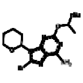 CCCCC(C)Oc1nc(N)c2nc(Br)n(C3CCCCO3)c2n1